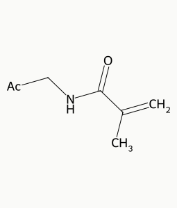 C=C(C)C(=O)NCC(C)=O